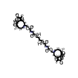 C=C1C(=O)O[C@H]2[C@H]1CC/C(COC(=O)/C=C/C(=O)NCCCCNC(=O)/C=C/C(=O)OC/C1=C/CC[C@@]3(C)O[C@H]3[C@H]3OC(=O)C(=C)[C@@H]3CC1)=C\CC[C@@]1(C)O[C@@H]21